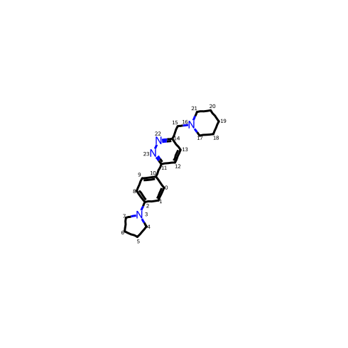 c1cc(N2CCCC2)ccc1-c1ccc(CN2CCCCC2)nn1